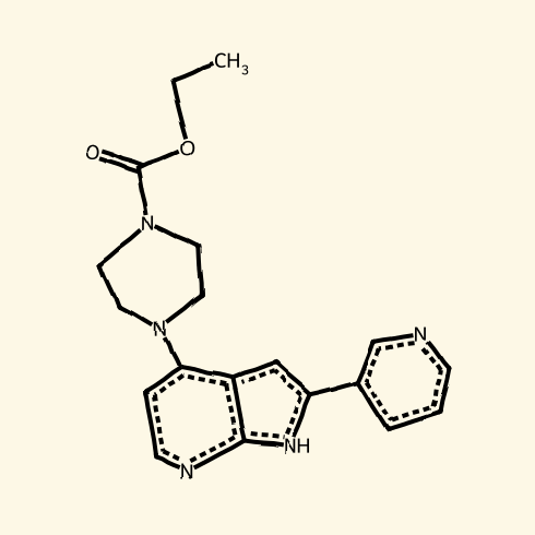 CCOC(=O)N1CCN(c2ccnc3[nH]c(-c4cccnc4)cc23)CC1